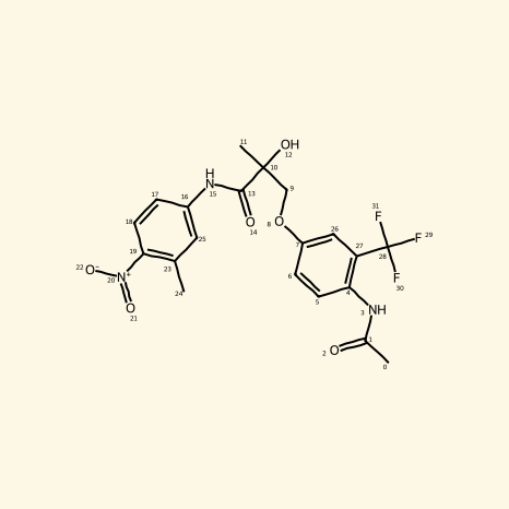 CC(=O)Nc1ccc(OCC(C)(O)C(=O)Nc2ccc([N+](=O)[O-])c(C)c2)cc1C(F)(F)F